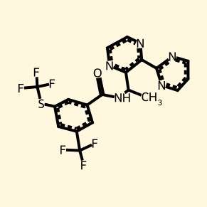 CC(NC(=O)c1cc(SC(F)(F)F)cc(C(F)(F)F)c1)c1nccnc1-c1ncccn1